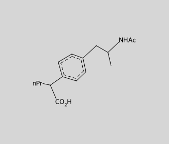 CCCC(C(=O)O)c1ccc(CC(C)NC(C)=O)cc1